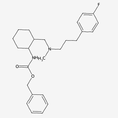 CN(CCCc1ccc(F)cc1)CC1CCCCC1NC(=O)OCc1ccccc1